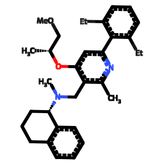 CCc1cccc(CC)c1-c1cc(O[C@H](C)COC)c(CN(C)[C@H]2CCCc3ccccc32)c(C)n1